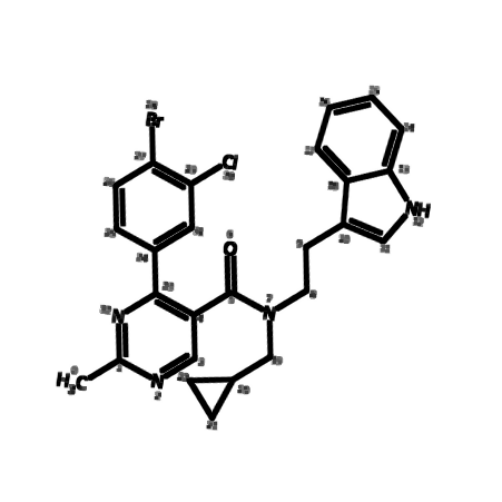 Cc1ncc(C(=O)N(CCc2c[nH]c3ccccc23)CC2CC2)c(-c2ccc(Br)c(Cl)c2)n1